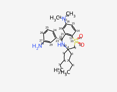 CCCCC1(CCCC)CS(=O)(=O)c2ccc(N(C)C)cc2[C@@H](c2cccc(N)c2)N1